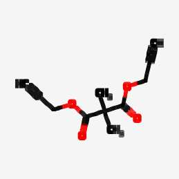 C#CCOC(=O)C(C)(C)C(=O)OCC#C